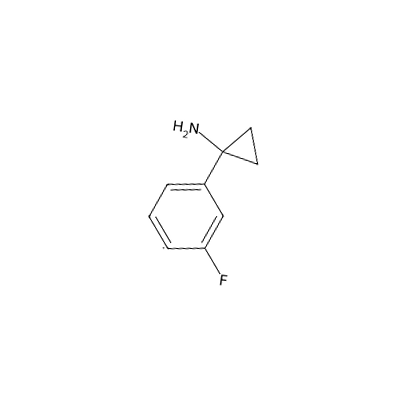 NC1(c2cc[c]c(F)c2)CC1